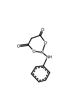 O=C1CC(=O)ON(Nc2ccccc2)O1